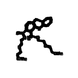 COCCOCCOC(=O)c1ccc2c(c1C(=O)OCCOCCOC)Sc1ccccc1C2